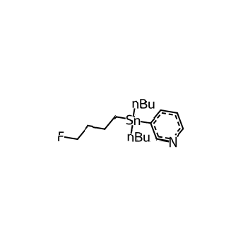 CCC[CH2][Sn]([CH2]CCC)([CH2]CCCF)[c]1cccnc1